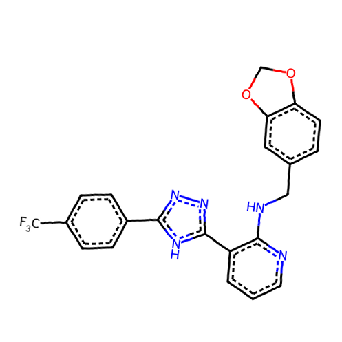 FC(F)(F)c1ccc(-c2nnc(-c3cccnc3NCc3ccc4c(c3)OCO4)[nH]2)cc1